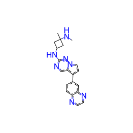 CNC1(C)CC(Nc2ncc3c(-c4ccc5nccnc5c4)ccn3n2)C1